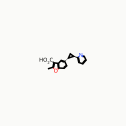 Cc1oc2ccc([C@@H]3C[C@H]3c3ccccn3)cc2c1C(=O)O